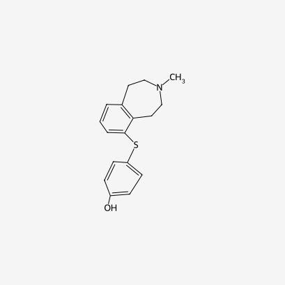 CN1CCc2cccc(Sc3ccc(O)cc3)c2CC1